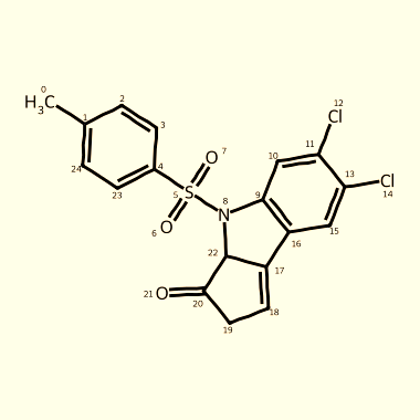 Cc1ccc(S(=O)(=O)N2c3cc(Cl)c(Cl)cc3C3=CCC(=O)C32)cc1